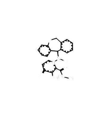 CC(C)NC(=O)c1c(O)c(=O)ccn1N(C)C1c2ccccc2COc2ccccc21